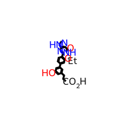 CCOc1cc(-c2cc(O)cc(CCC(=O)O)c2)ccc1-c1nc2[nH]cnc2c(=O)[nH]1